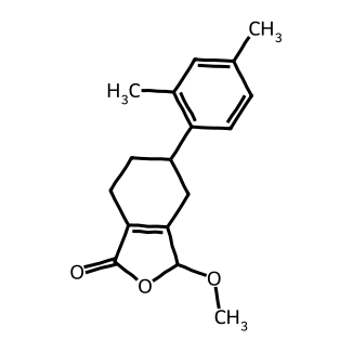 COC1OC(=O)C2=C1CC(c1ccc(C)cc1C)CC2